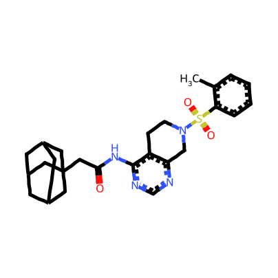 Cc1ccccc1S(=O)(=O)N1CCc2c(ncnc2NC(=O)CC23CC4CC(CC(C4)C2)C3)C1